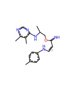 Cc1ccc(N/C=C\C(=N)OCC(C)Nc2ncnc(C)c2C)cc1